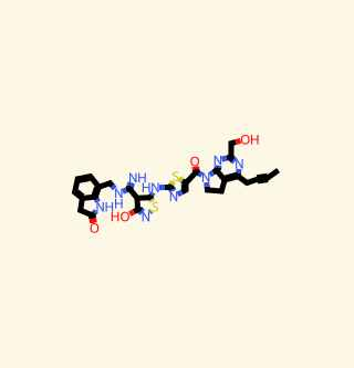 CC#CCc1nc(CO)nc2c1CCN2C(=O)c1cnc(NC2SN=C(O)C2C(=N)NCc2cccc3c2NC(=O)C3)s1